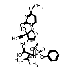 C#C[C@@]1(O)[C@H](O)[C@@H](COP(=O)(N[C@](C)(C(=O)O)C(C)C)Oc2ccccc2)O[C@H]1n1ccc(OC)nc1=O